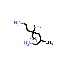 CC(CN)CC(C)(C)CCN